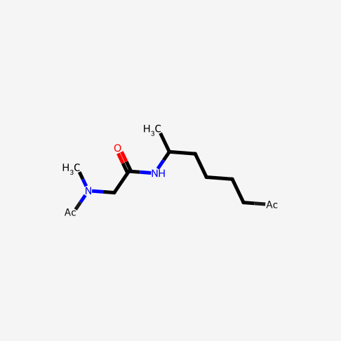 CC(=O)CCCCC(C)NC(=O)CN(C)C(C)=O